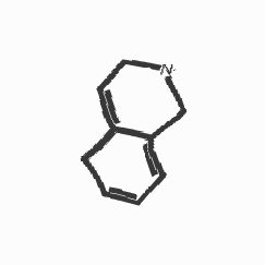 C1=CCC2=CC[N]CC2=C1